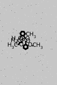 CCCCP(=O)(C(=O)c1c(C)cccc1C)C(=O)c1c(OCC)cccc1OCC